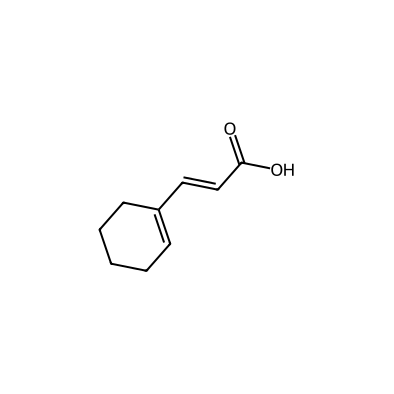 O=C(O)C=CC1=CCCCC1